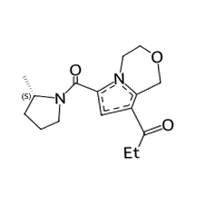 CCC(=O)c1cc(C(=O)N2CCC[C@@H]2C)n2c1COCC2